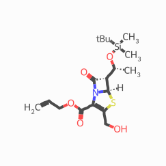 C=CCOC(=O)C1=C(CO)S[C@@H]2[C@@H]([C@@H](C)O[Si](C)(C)C(C)(C)C)C(=O)N12